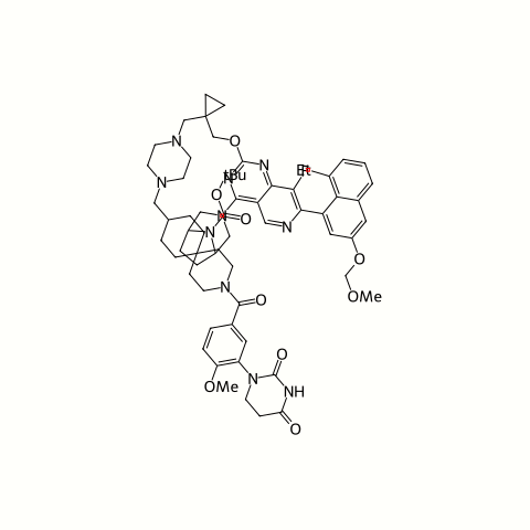 CCc1cccc2cc(OCOC)cc(-c3ncc4c(N5CC6CCC(C5)N6C(=O)OC(C)(C)C)nc(OCC5(CN6CCN(CC7CCC8(CC7)CCN(C(=O)c7ccc(OC)c(N9CCC(=O)NC9=O)c7)CC8)CC6)CC5)nc4c3F)c12